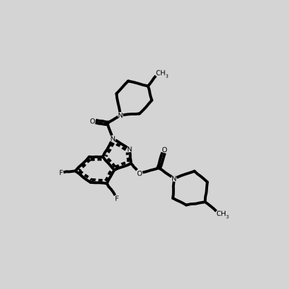 CC1CCN(C(=O)Oc2nn(C(=O)N3CCC(C)CC3)c3cc(F)cc(F)c23)CC1